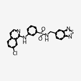 O=S(=O)(NCc1ccc2nsnc2c1)c1cccc(Nc2nccc3ccc(Cl)cc23)c1